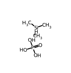 C[SiH](C)C.O=P(O)(O)O